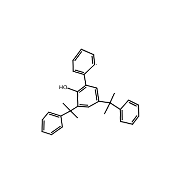 CC(C)(c1ccccc1)c1cc(-c2[c]cccc2)c(O)c(C(C)(C)c2ccccc2)c1